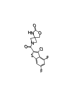 O=C1NC2(CO1)CN(C(=O)c1sc3cc(F)cc(F)c3c1Cl)C2